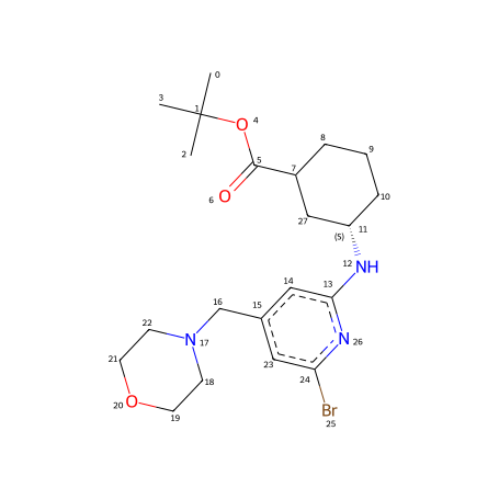 CC(C)(C)OC(=O)C1CCC[C@H](Nc2cc(CN3CCOCC3)cc(Br)n2)C1